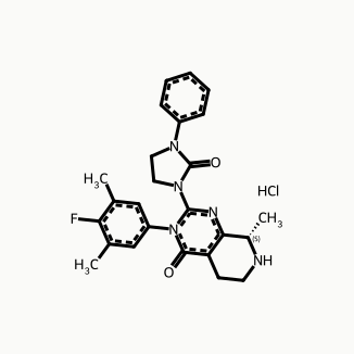 Cc1cc(-n2c(N3CCN(c4ccccc4)C3=O)nc3c(c2=O)CCN[C@H]3C)cc(C)c1F.Cl